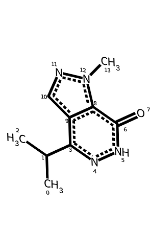 CC(C)c1n[nH]c(=O)c2c1cnn2C